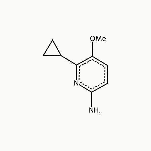 COc1ccc(N)nc1C1CC1